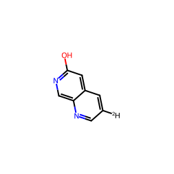 [2H]c1cnc2cnc(O)cc2c1